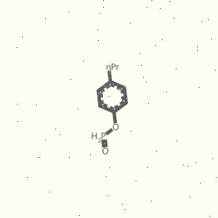 CCCc1ccc(O[PH2]=O)cc1